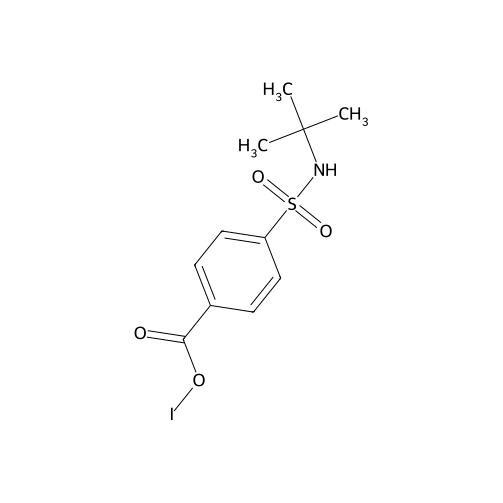 CC(C)(C)NS(=O)(=O)c1ccc(C(=O)OI)cc1